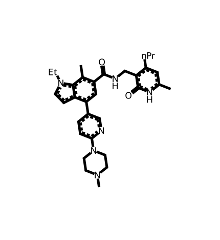 CCCc1cc(C)[nH]c(=O)c1CNC(=O)c1cc(-c2ccc(N3CCN(C)CC3)nc2)c2ccn(CC)c2c1C